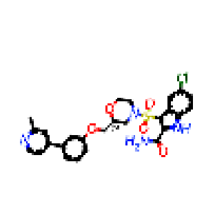 Cc1cc(-c2cccc(OC[C@@H]3CN(S(=O)(=O)c4c(C(N)=O)[nH]c5ccc(Cl)cc45)CCO3)c2)ccn1